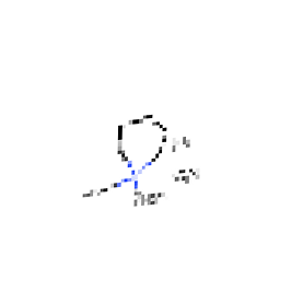 CCCCCCC[N+]1(CCC)CCCCC1.CS(=O)(=O)O